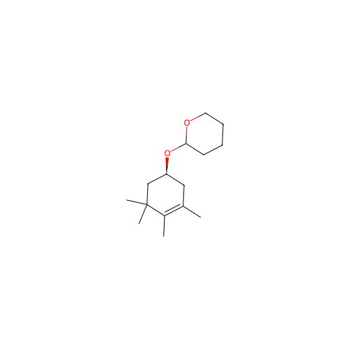 CC1=C(C)C(C)(C)C[C@@H](OC2CCCCO2)C1